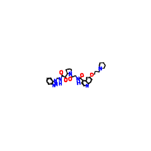 O=C(NCn1nnc2ccccc21)C(=O)C1CCCN1C(=O)CNC(=O)c1ccnc2ccc(OCCCN3CCCCC3)cc12